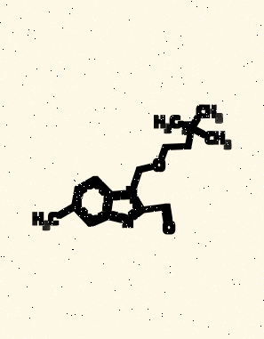 Cc1ccc2c(c1)nc(C=O)n2COCC[Si](C)(C)C